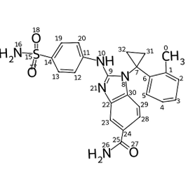 Cc1ccccc1C1(n2c(Nc3ccc(S(N)(=O)=O)cc3)nc3cc(C(N)=O)ccc32)CC1